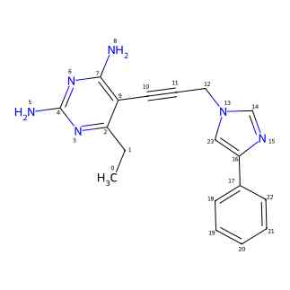 CCc1nc(N)nc(N)c1C#CCn1cnc(-c2ccccc2)c1